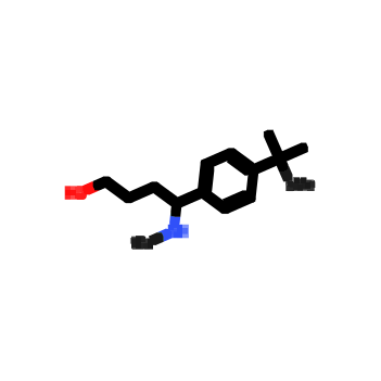 CSC(C)(C)c1ccc(C(CCCO)NC(C)(C)C)cc1